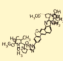 COC[C@@H]1CN(C(=O)O)[C@](c2nc3c(ccc4cc5c(cc43)OCc3cc(-c4cnc([C@@H]6CC[C@H](C)N6C(=O)[C@@H](NC(=O)OC)C(C)C)[nH]4)ccc3-5)[nH]2)(C(C)(C)C)C1